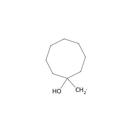 [CH2]C1(O)CCCCCCC1